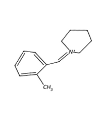 Cc1ccccc1C=[N+]1CCCCC1